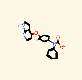 O=C(O)N(c1ccccc1)c1ccc(Oc2ccnc3[nH]ccc23)c(F)c1